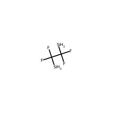 FC(F)([SiH3])C(F)(F)[SiH3]